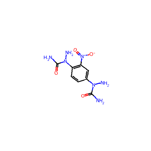 NC(=O)N(N)c1ccc(N(N)C(N)=O)c([N+](=O)[O-])c1